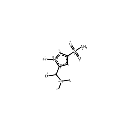 CCC(c1cc(S(N)(=O)=O)nn1C(C)C)N(C)C